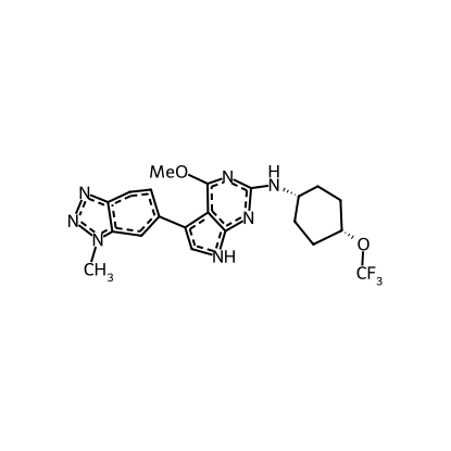 COc1nc(N[C@H]2CC[C@@H](OC(F)(F)F)CC2)nc2[nH]cc(-c3ccc4nnn(C)c4c3)c12